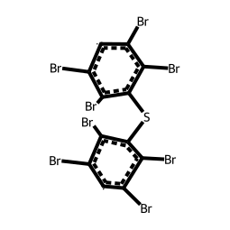 Brc1[c]c(Br)c(Br)c(Sc2c(Br)c(Br)[c]c(Br)c2Br)c1Br